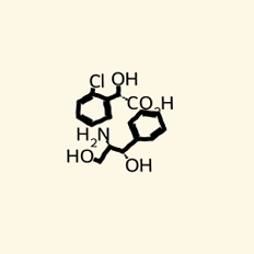 N[C@@H](CO)[C@@H](O)c1ccccc1.O=C(O)[C@@H](O)c1ccccc1Cl